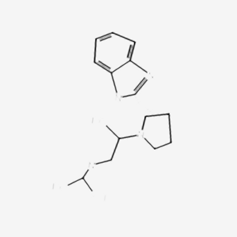 OC(O)NCC(O)N1CCC[C@H]1c1nc2ccccc2[nH]1